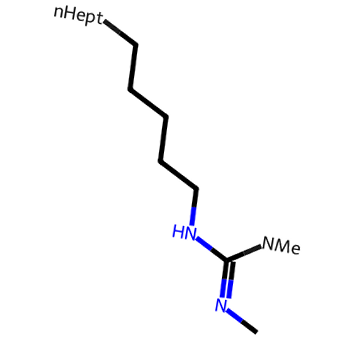 CCCCCCCCCCCCN/C(=N/C)NC